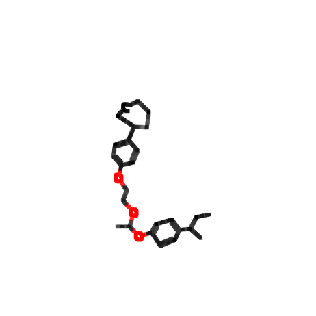 CCC(C)c1ccc(OC(C)OCCOc2ccc(C3CCCCC3)cc2)cc1